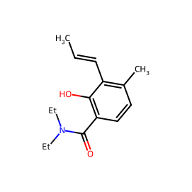 C/C=C/c1c(C)ccc(C(=O)N(CC)CC)c1O